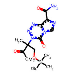 COC(=O)C(C)(CO[Si](C)(C)C(C)(C)C)n1nnc2c(C(N)=O)ncn2c1=O